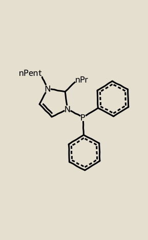 CCCCCN1C=CN(P(c2ccccc2)c2ccccc2)C1CCC